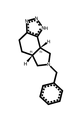 c1ccc(CN2C[C@@H]3CCc4nn[nH]c4[C@@H]3C2)cc1